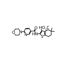 CC1(C)CCc2sc(NC(=O)c3ccc(N4CCOCC4)nc3)c(C(=O)O)c2C1